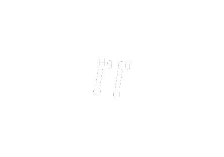 [O]=[Cu].[O]=[Hg]